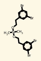 C[Si](C)(OCCc1cc(Br)cc(Br)c1)OCCc1cc(Br)cc(Br)c1